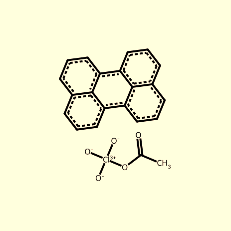 CC(=O)O[Cl+3]([O-])([O-])[O-].c1cc2cccc3c4cccc5cccc(c(c1)c23)c54